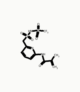 C=C(C)C(=O)Nc1cccc(CS(=O)(=O)NS(=O)(=O)C(F)(F)F)n1